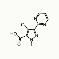 Cn1nc(-c2ncccn2)c(Cl)c1C(=O)O